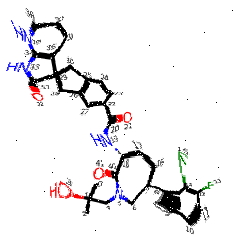 CC(C)(O)CN1C[C@H](c2cccc(F)c2F)CC[C@@H](NC(=O)c2ccc3c(c2)CC2(C3)C(=O)NC3=C2C=CCN3)C1=O